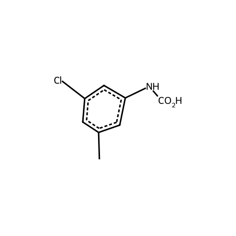 Cc1cc(Cl)cc(NC(=O)O)c1